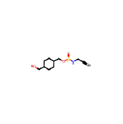 C#CCN[PH](=O)OCC1CCC(CO)CC1